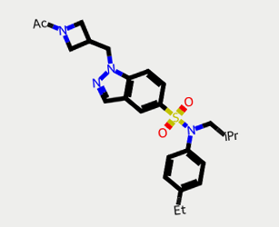 CCc1ccc(N(CC(C)C)S(=O)(=O)c2ccc3c(cnn3CC3CN(C(C)=O)C3)c2)cc1